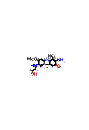 COc1cc(N=C2C(C)=CC(=O)C(N)=C2[N+](=O)[O-])ccc1NCCO